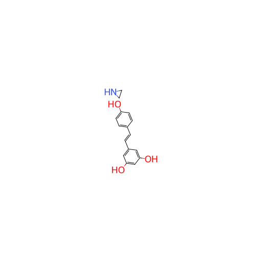 C1CN1.Oc1ccc(/C=C/c2cc(O)cc(O)c2)cc1